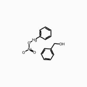 O=[N+]([O-])[O][Hg][c]1ccccc1.OCc1ccccc1